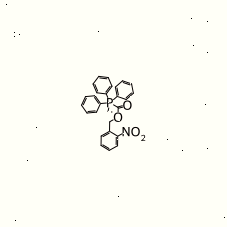 [CH2]P(C(=O)OCc1ccccc1[N+](=O)[O-])(c1ccccc1)(c1ccccc1)c1ccccc1